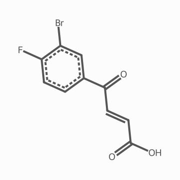 O=C(O)/C=C/C(=O)c1ccc(F)c(Br)c1